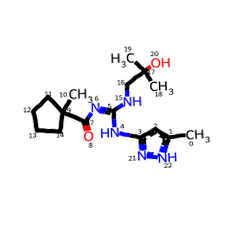 Cc1cc(N/C(=N\C(=O)C2(C)CCCC2)NCC(C)(C)O)n[nH]1